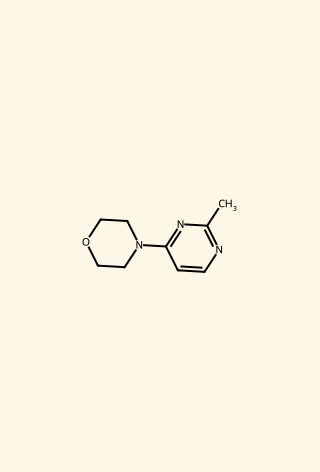 Cc1nccc(N2CCOCC2)n1